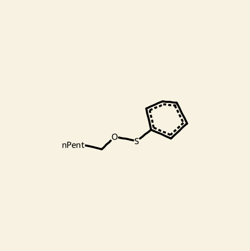 CCCCCCOSc1ccccc1